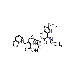 CO/N=C(\C(=O)N[C@@H]1C(=O)N2C(C(=O)O)=C(C[n+]3cccc4c3CCC4)CSC12)c1csc(N)n1